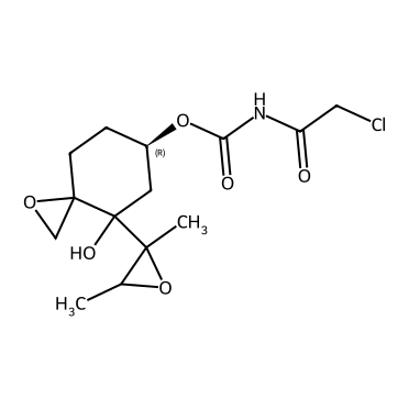 CC1OC1(C)C1(O)C[C@H](OC(=O)NC(=O)CCl)CCC12CO2